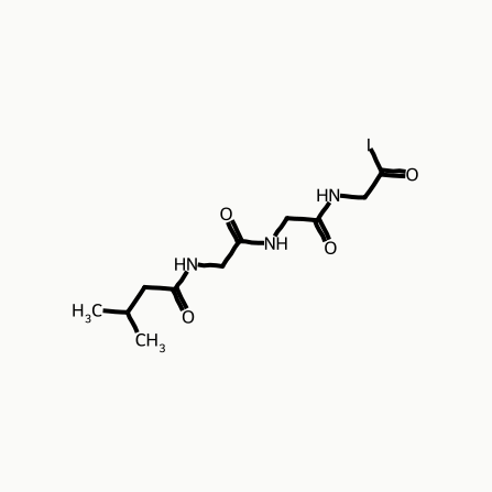 CC(C)CC(=O)NCC(=O)NCC(=O)NCC(=O)I